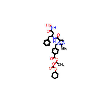 CCCCc1ncc(C(=O)NC(CC(=O)NO)Cc2ccccc2)n1Cc1ccc(C(=O)OC(C)OC(=O)OC2CCCCC2)cc1